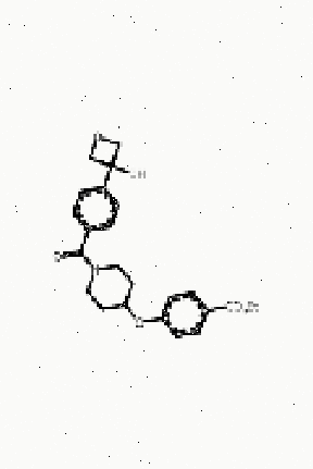 CCOC(=O)c1ccc(OC2CCN(C(=O)c3ccc(C4(O)COC4)cc3)CC2)cc1